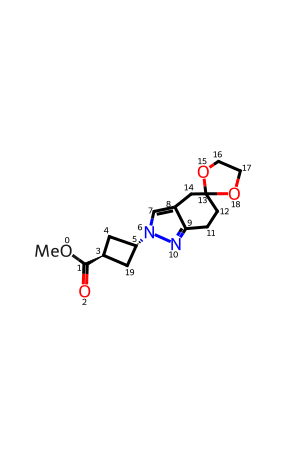 COC(=O)[C@H]1C[C@H](n2cc3c(n2)CCC2(C3)OCCO2)C1